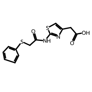 O=C(O)Cc1csc(NC(=O)CSc2ccccc2)n1